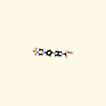 CC(C)(C)OC(=O)N1CC2CN(c3ccc(N4CCN(S(C)(=O)=O)CC4)cc3)CC2C1